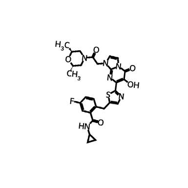 C[C@H]1CN(C(=O)Cn2ccn3c(=O)c(O)c(-c4ncc(Cc5ccc(F)cc5C(=O)NC5CC5)s4)nc23)C[C@H](C)O1